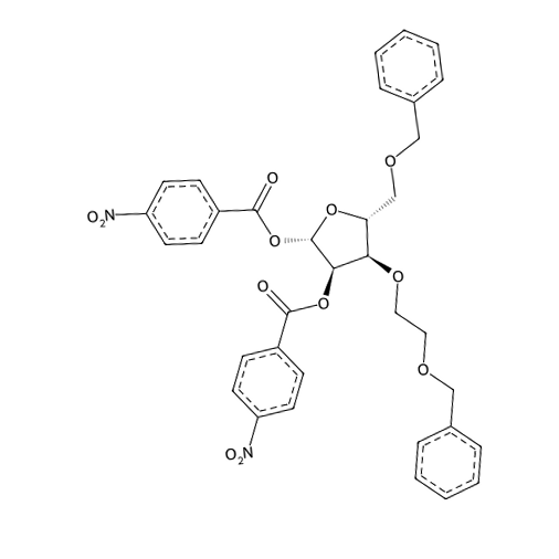 O=C(O[C@@H]1O[C@H](COCc2ccccc2)[C@@H](OCCOCc2ccccc2)[C@H]1OC(=O)c1ccc([N+](=O)[O-])cc1)c1ccc([N+](=O)[O-])cc1